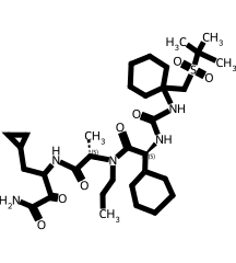 CCCN(C(=O)[C@@H](NC(=O)NC1(CS(=O)(=O)C(C)(C)C)CCCCC1)C1CCCCC1)[C@@H](C)C(=O)NC(CC1CC1)C(=O)C(N)=O